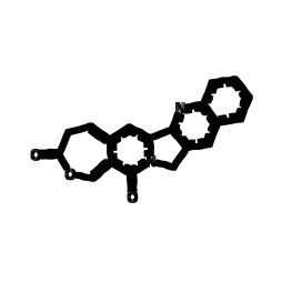 O=C1CC=c2cc3n(c(=O)c2=CO1)Cc1cc2ccccc2nc1-3